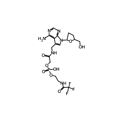 Nc1ncnc2c1c(CNC(=O)COP(=O)(O)OCCNC(=O)C(F)(F)F)cn2C1CCC(CO)O1